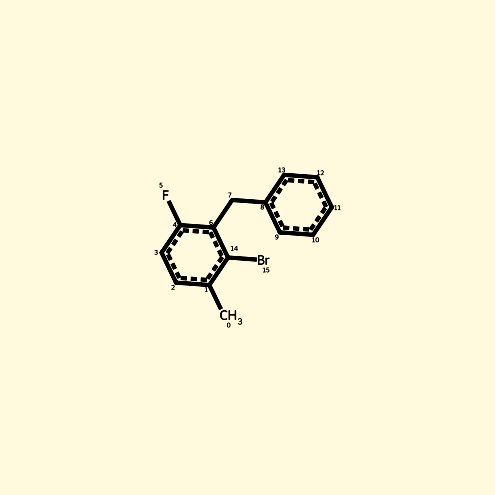 Cc1ccc(F)c(Cc2ccccc2)c1Br